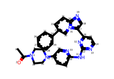 CC(=O)N1CCN(c2ccc(Nc3nccc(-c4cnc5ccc(-c6ccccc6)cn45)n3)nc2)CC1